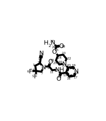 N#CC1CC(F)(F)CN1C(=O)CNC(=O)c1ccncc1N1CCC(OC(N)=O)CC1